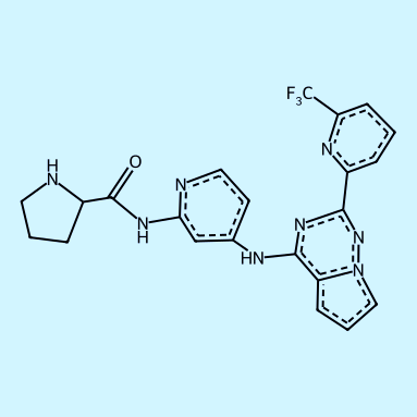 O=C(Nc1cc(Nc2nc(-c3cccc(C(F)(F)F)n3)nn3cccc23)ccn1)C1CCCN1